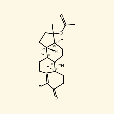 CC(=O)OC1(C)CC[C@H]2[C@@H]3CCC4=C(F)C(=O)CC[C@]4(C)[C@@H]3CC[C@@]21C